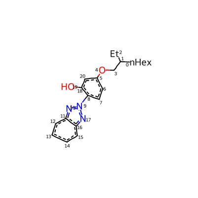 CCCCCCC(CC)COc1ccc(-n2nc3ccccc3n2)c(O)c1